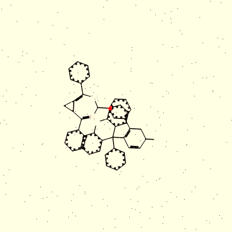 CC1C=CC(C2(c3ccccc3)c3ccccc3Oc3ccccc32)=C(c2cccc(C3N=C(c4ccccc4)C4CC4=C(c4ccccc4)N3)c2)C1